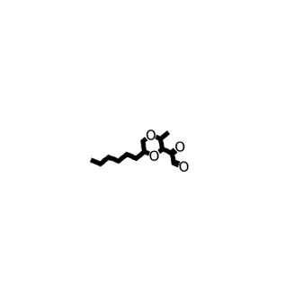 CCCCCCC1COC(C)C(C(=O)C=O)O1